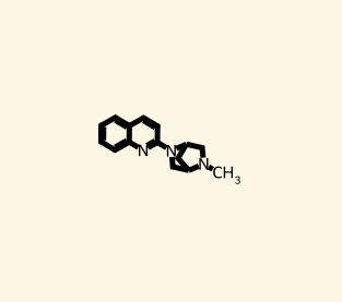 CN1CC2CC1CN2c1ccc2ccccc2n1